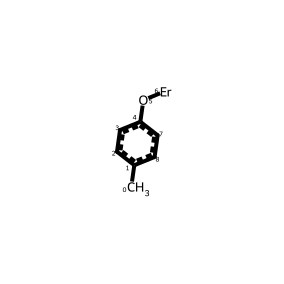 Cc1ccc([O][Er])cc1